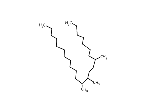 CCCCCCCCCCCC(C)C(C)CCC(C)CCCCCCC